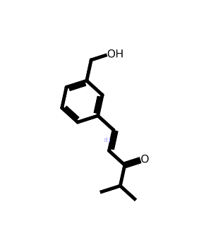 CC(C)C(=O)/C=C/c1cccc(CO)c1